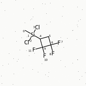 C[Si](Cl)(Cl)C1CC(F)(F)C1(F)F